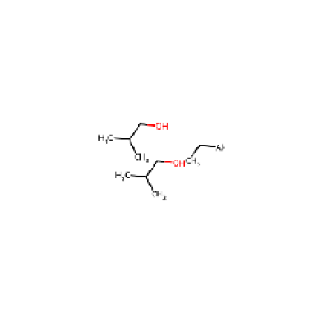 CC(C)CO.CC(C)CO.C[CH2][Al]